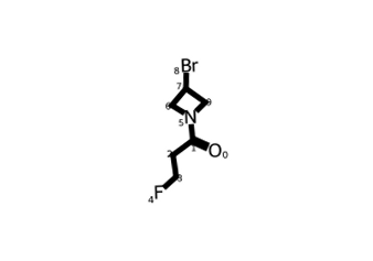 O=C(CCF)N1CC(Br)C1